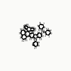 c1ccc(N(c2ccccc2)c2ccc3c(c2)c2cc4c(cc2n3-c2ccccc2)-c2cccc3cccc(c23)C42c3ccccc3-c3ccccc32)cc1